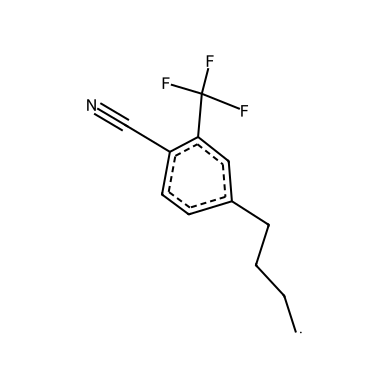 [CH2]CCCc1ccc(C#N)c(C(F)(F)F)c1